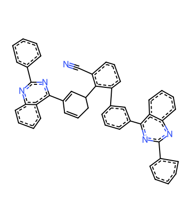 N#Cc1cccc(-c2cccc(-c3nc(-c4ccccc4)nc4ccccc34)c2)c1C1C=C(c2nc(-c3ccccc3)nc3ccccc23)C=CC1